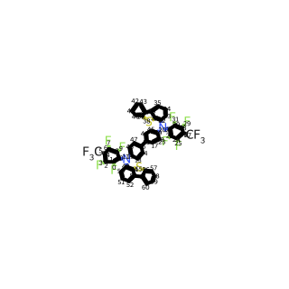 Fc1c(F)c(C(F)(F)F)c(F)c(F)c1N(c1ccc(-c2ccc(N(c3c(F)c(F)c(C(F)(F)F)c(F)c3F)c3cccc4c3sc3ccccc34)cc2)cc1)c1cccc2c1sc1ccccc12